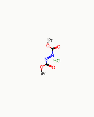 CC(C)OC(=O)N=NC(=O)OC(C)C.Cl